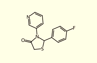 O=C1CSC(c2ccc(F)cc2)N1c1cccnc1